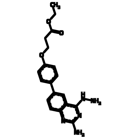 CCOC(=O)CCOc1ccc(-c2ccc3nc(N)nc(NN)c3c2)cc1